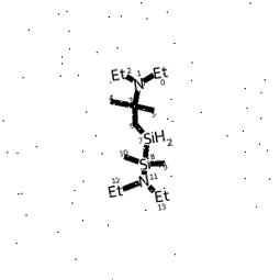 CCN(CC)C(C)(C)C[SiH2][Si](C)(C)N(CC)CC